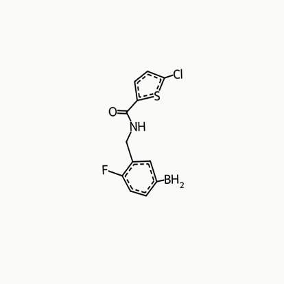 Bc1ccc(F)c(CNC(=O)c2ccc(Cl)s2)c1